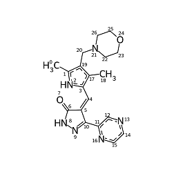 Cc1[nH]c(C=C2C(=O)NN=C2c2cnccn2)c(C)c1CN1CCOCC1